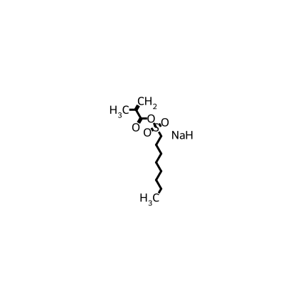 C=C(C)C(=O)OS(=O)(=O)CCCCCCCC.[NaH]